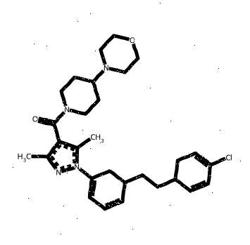 Cc1nn(C2=CC=CC(CCC3C=CC(Cl)=CC3)C2)c(C)c1C(=O)N1CCC(N2CCOCC2)CC1